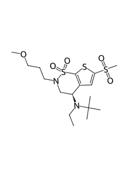 CCN([C@H]1CN(CCCOC)S(=O)(=O)c2sc(S(C)(=O)=O)cc21)C(C)(C)C